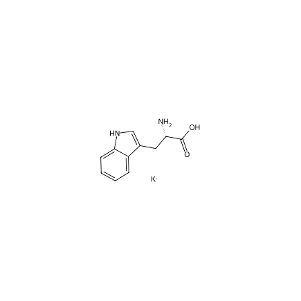 N[C@@H](Cc1c[nH]c2ccccc12)C(=O)O.[K]